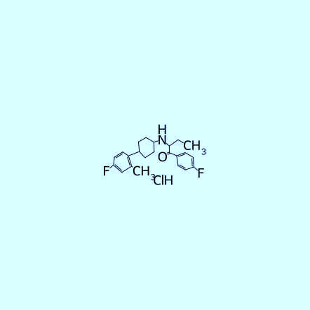 CCC(NC1CCC(c2ccc(F)cc2C)CC1)C(=O)c1ccc(F)cc1.Cl